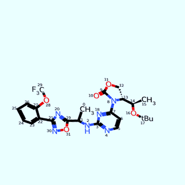 CC(Nc1nccc(N2C(=O)OC[C@@H]2[C@@H](C)OC(C)(C)C)n1)c1nc(-c2ccccc2OC(F)(F)F)no1